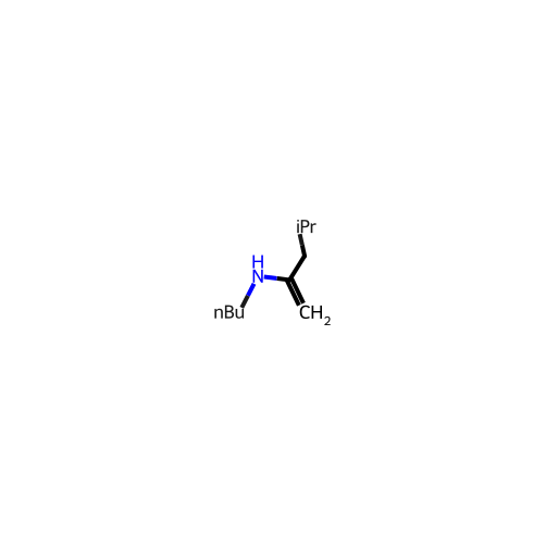 C=C(CC(C)C)NCCCC